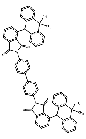 CC1(C)c2ccccc2N(c2cccc3c2C(=O)N(c2ccc(-c4ccc(N5C(=O)c6cccc(N7c8ccccc8C(C)(C)c8ccccc87)c6C5=O)cc4)cc2)C3=O)c2ccccc21